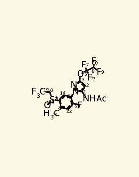 CC(=O)Nc1cc(OC(F)(F)C(F)F)nn1-c1cc([S+]([O-])CC(F)(F)F)c(C)cc1F